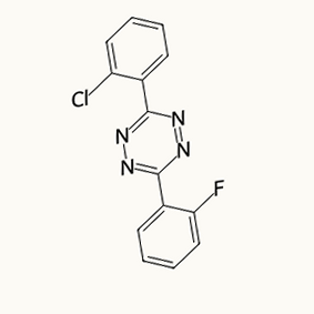 Fc1ccccc1-c1nnc(-c2ccccc2Cl)nn1